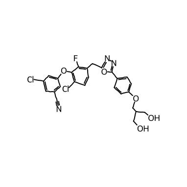 N#Cc1cc(Cl)cc(Oc2c(Cl)ccc(Cc3nnc(-c4ccc(OCC(CO)CO)cc4)o3)c2F)c1